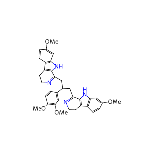 COc1ccc2c3c([nH]c2c1)C(CC(CC1=NCCc2c1[nH]c1cc(OC)ccc21)c1ccc(OC)c(OC)c1)=NCC3